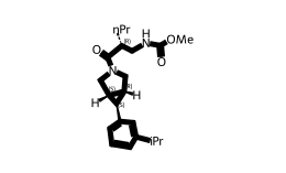 CCC[C@H](CNC(=O)OC)C(=O)N1C[C@@H]2[C@H](C1)[C@H]2c1cccc(C(C)C)c1